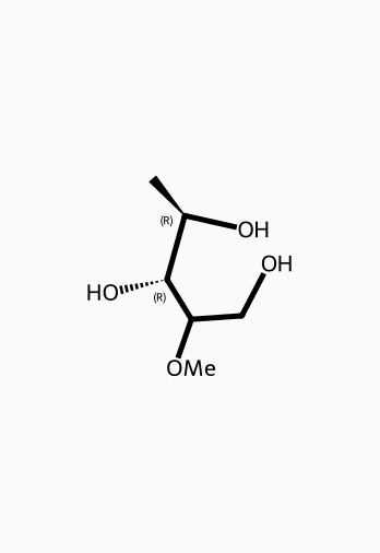 COC(CO)[C@H](O)[C@@H](C)O